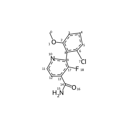 COc1cccc(Cl)c1-c1nccc(C(N)=O)c1F